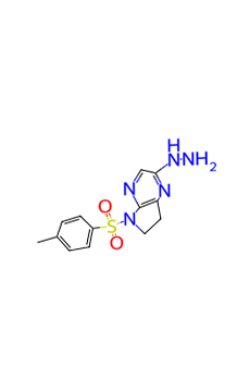 Cc1ccc(S(=O)(=O)N2CCc3nc(NN)cnc32)cc1